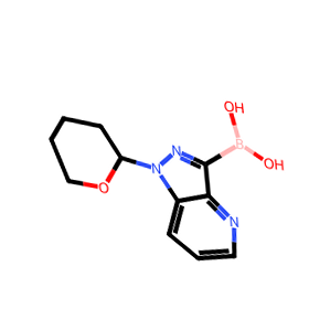 OB(O)c1nn(C2CCCCO2)c2cccnc12